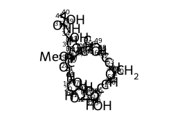 C=C1C[C@@H]2CC[C@]34C[C@@H](O)[C@H](O3)C3C[C@@H](O4)[C@H]4O[C@H](CC[C@@H]4O3)CC(=O)C[C@@H]3[C@@H](OC)[C@@H](C[C@H](O)CNC(=O)C4(O)CC4)O[C@H]3C[C@H]3O[C@H](CCC3=C)CC[C@@H]1O2